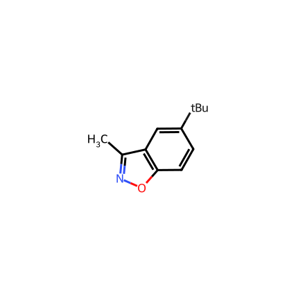 Cc1noc2ccc(C(C)(C)C)cc12